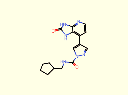 O=C(NCC1CCCC1)n1cc(-c2ccnc3[nH]c(=O)[nH]c23)cn1